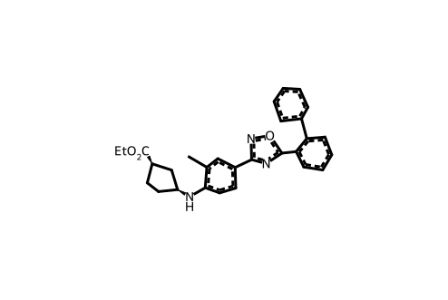 CCOC(=O)[C@@H]1CC[C@H](Nc2ccc(-c3noc(-c4ccccc4-c4ccccc4)n3)cc2C)C1